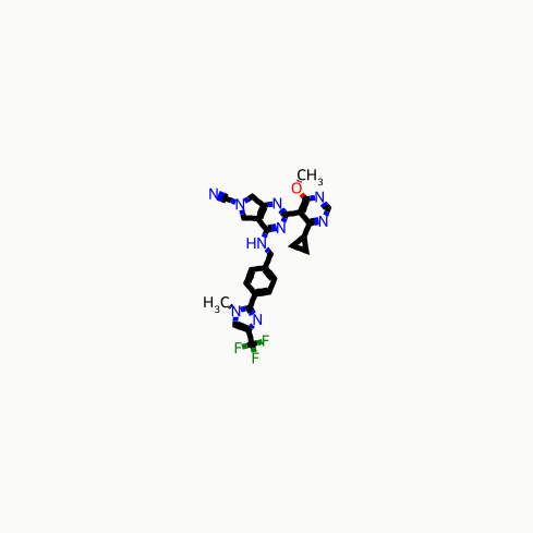 COc1ncnc(C2CC2)c1-c1nc2c(c(NCc3ccc(-c4nc(C(F)(F)F)cn4C)cc3)n1)CN(C#N)C2